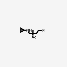 CC(=O)C(C)(CCC(C)C)CNC1CC1